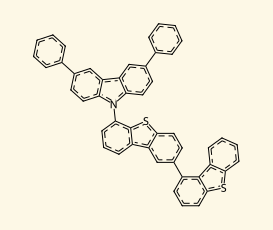 c1ccc(-c2ccc3c(c2)c2cc(-c4ccccc4)ccc2n3-c2cccc3c2sc2ccc(-c4cccc5sc6ccccc6c45)cc23)cc1